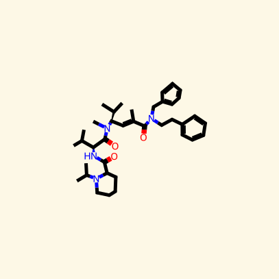 C/C(=C\[C@H](C(C)C)N(C)C(=O)[C@@H](NC(=O)C1CCCCN1C(C)C)C(C)C)C(=O)N(CCc1ccccc1)Cc1ccccc1